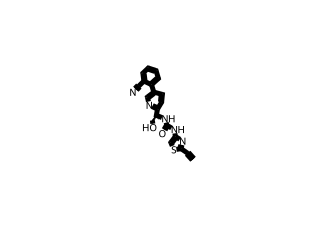 C#Cc1nc(NC(=O)N[C@@H](CO)c2ccc(-c3ccccc3C#N)cn2)cs1